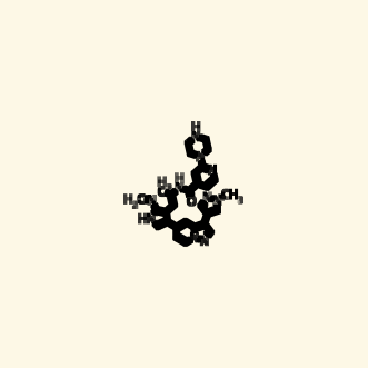 C=Nc1[nH]cc(-c2ccn3ncc(-c4cnn(C)c4)c3c2)c1/C=C(\C)NC(=O)c1ccnc(N2CCNCC2)c1